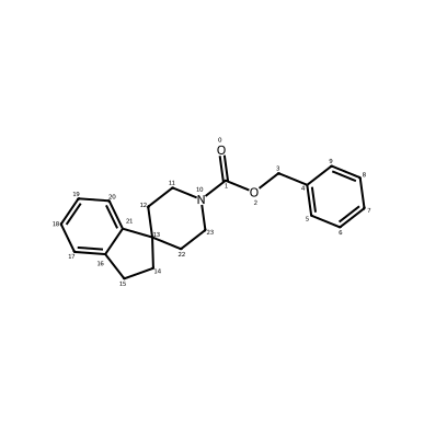 O=C(OCc1ccccc1)N1CCC2(CCc3ccccc32)CC1